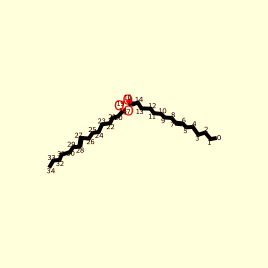 CCCCCCC=CCCCCCCCC(=O)OC(=O)CCCCCCCC=CCCCCCC